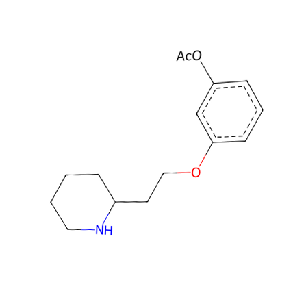 CC(=O)Oc1cccc(OCCC2CCCCN2)c1